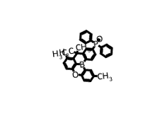 Cc1ccc2c(c1)B1c3ccc(P(=O)(c4ccccc4)c4ccccc4)cc3C(C)(C)c3c(C)ccc(c31)O2